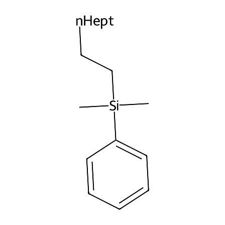 [CH2]CCCCCCCC[Si](C)(C)c1ccccc1